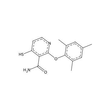 Cc1cc(C)c(Oc2nccc(S)c2C(N)=O)c(C)c1